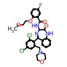 COCCOc1ccc(F)cc1C(=O)NC1N=C(c2c(Cl)cc(Cl)cc2CN2CCOCC2)c2ccccc2NC1=O